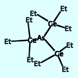 C[CH2][Ge]([CH2]C)([CH2]C)[As]([Ge]([CH2]C)([CH2]C)[CH2]C)[Ge]([CH2]C)([CH2]C)[CH2]C